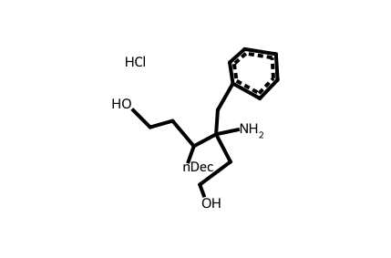 CCCCCCCCCCC(CCO)C(N)(CCO)Cc1ccccc1.Cl